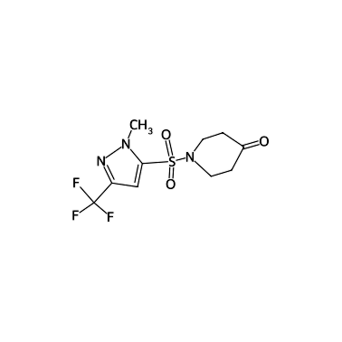 Cn1nc(C(F)(F)F)cc1S(=O)(=O)N1CCC(=O)CC1